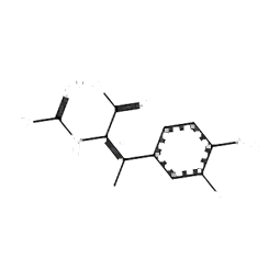 CCC(=O)N/C(C(=O)OC)=C(\C)c1ccc([N+](=O)[O-])c(F)c1